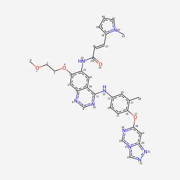 COCCOc1cc2ncnc(Nc3ccc(Oc4cc5nncn5cn4)c(C)c3)c2cc1NC(=O)/C=C/c1cccn1C